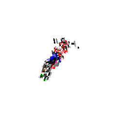 C=C[C@H](OC(=O)OCOc1c2n(ccc1=O)N[C@@H]1[C@H](c3cccc4c3Cc3ccc(F)c(F)c3CS4)OCCN1C2=O)C(=O)OC